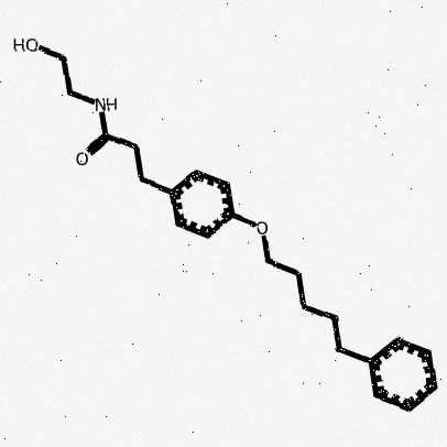 O=C(CCc1ccc(OCCCCCc2ccccc2)cc1)NCCO